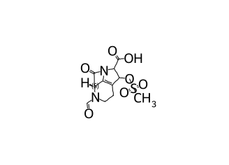 CS(=O)(=O)OC1C2=C3[C@@H](C(=O)N3C1C(=O)O)N(C=O)CC2